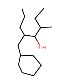 CCCC(CC1CCCCC1)C(O)C(C)CC